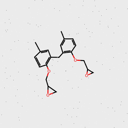 Cc1ccc(OCC2CO2)c(Cc2cc(C)ccc2OCC2CO2)c1